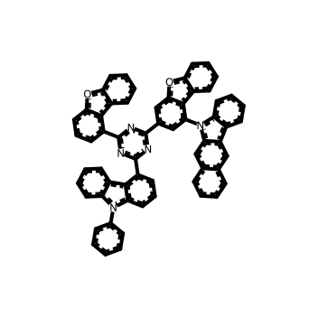 c1ccc(-n2c3ccccc3c3c(-c4nc(-c5cc(-n6c7ccccc7c7cc8ccccc8cc76)c6c(c5)oc5ccccc56)nc(-c5cccc6oc7ccccc7c56)n4)cccc32)cc1